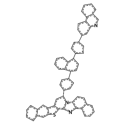 c1ccc2cc3c(cc2c1)sc1c3cc(-c2ccc(-c3ccc(-c4ccc(-c5ccc6c(c5)ncc5ccccc56)cc4)c4ccccc34)cc2)n2c3ccc4ccccc4c3nc12